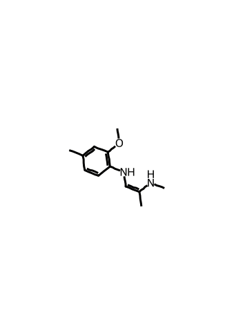 CN/C(C)=C\Nc1ccc(C)cc1OC